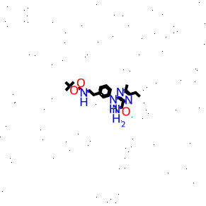 CCc1nc(C(N)=O)c(Nc2cccc(CCNC(=O)OC(C)(C)C)c2)nc1C